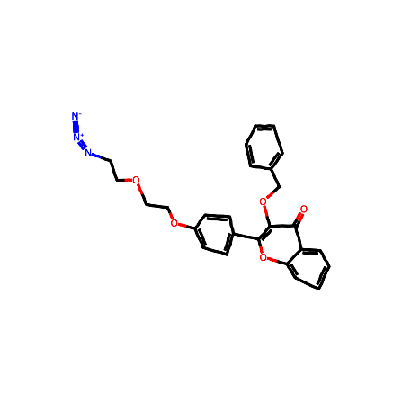 [N-]=[N+]=NCCOCCOc1ccc(-c2oc3ccccc3c(=O)c2OCc2ccccc2)cc1